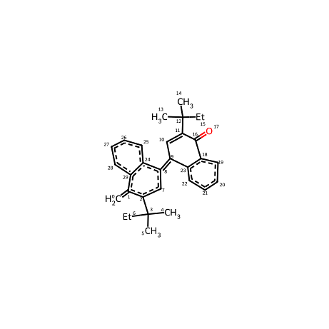 C=c1c(C(C)(C)CC)c/c(=C2/C=C(C(C)(C)CC)C(=O)c3ccccc32)c2ccccc12